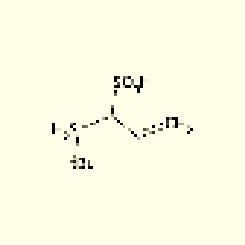 C=C[C]([SiH2]C(C)(C)C)S(=O)(=O)O